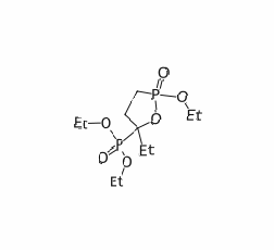 CCOP1(=O)CCC(CC)(P(=O)(OCC)OCC)O1